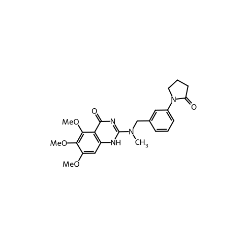 COc1cc2[nH]c(N(C)Cc3cccc(N4CCCC4=O)c3)nc(=O)c2c(OC)c1OC